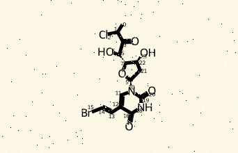 CC(Cl)C(=O)C(O)[C@H]1O[C@@H](n2cc(C=CBr)c(=O)[nH]c2=O)C[C@@H]1O